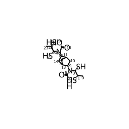 CC(S)C(S)N(C(=O)O)C1CC2C[C]1CC2N(C(=O)O)C(S)C(C)S